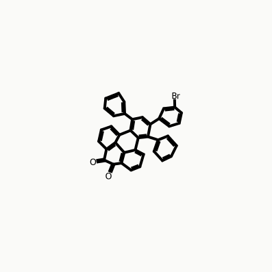 O=c1c(=O)c2cccc3c4c(-c5ccccc5)c(-c5cccc(Br)c5)cc(-c5ccccc5)c4c4cccc1c4c23